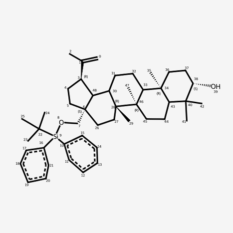 C=C(C)[C@@H]1CC[C@]2(CO[Si](c3ccccc3)(c3ccccc3)C(C)(C)C)CC[C@]3(C)C(CCC4[C@@]5(C)CC[C@H](O)C(C)(C)C5CC[C@]43C)C12